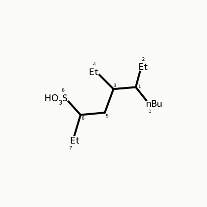 CCCCC(CC)C(CC)CC(CC)S(=O)(=O)O